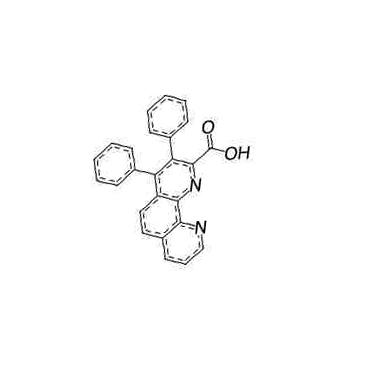 O=C(O)c1nc2c(ccc3cccnc32)c(-c2ccccc2)c1-c1ccccc1